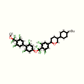 CCCCC1CCC(C2CCC(c3cc(F)c(C(F)(F)Oc4cc(F)c(-c5cc(F)c(C(F)(F)OC(F)(F)F)c(F)c5)c(F)c4)c(F)c3)OC2)CC1